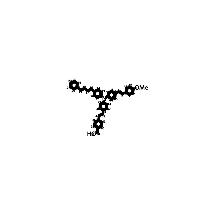 COc1ccc(/C=C/c2ccc(N(c3ccc(/C=C/C=C/c4ccccc4)cc3)c3ccc(/C=C/c4ccc(CO)cc4)cc3)cc2)cc1